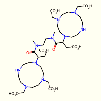 CN(CCN(C)C(=O)C(CC(=O)O)N1CCNCCN(CC(=O)O)CCN(CC(=O)O)CC1)C(=O)C(CC(=O)O)N1CCNCCN(CC(=O)O)CCN(CC(=O)O)CC1